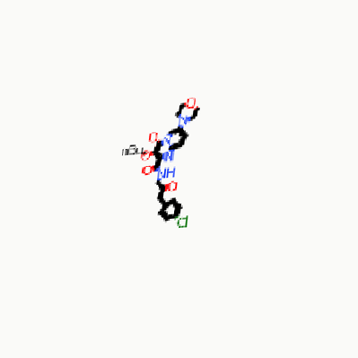 CCCCOc1c(C(=O)NCC(=O)Cc2ccc(Cl)cc2)nc2ccc(N3CCOCC3)cn2c1=O